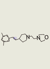 Cc1cc(C)cc(/C=C/C2CCN(CCN3CCOCC3)CC2)c1